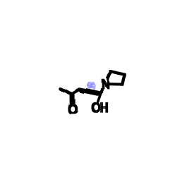 CC(=O)/C=C(\O)N1CCC1